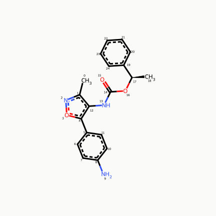 Cc1noc(-c2ccc(N)cc2)c1NC(=O)O[C@H](C)c1ccccc1